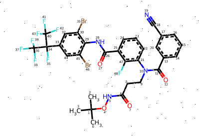 CC(C)(C)ONC(=O)CCN(C(=O)c1cccc(C#N)c1)c1cccc(C(=O)Nc2c(Br)cc(C(F)(C(F)(F)F)C(F)(F)F)cc2Br)c1F